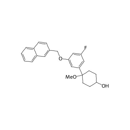 COC1(c2cc(F)cc(OCc3ccc4ccccc4c3)c2)CCC(O)CC1